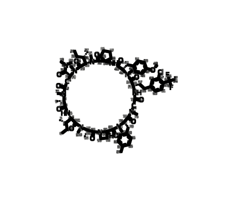 CC[C@H](C)[C@@H]1NC(=O)[C@H](C)N(C)C(=O)C[C@@H](C(=O)N(C)C)N(C)C(=O)[C@H]([C@@H](C)CC)N(C)C(=O)C2(CCCC2)NC(=O)[C@H](Cc2ccc(OC)cc2)N(C)C(=O)[C@H](CCc2ccc(C(F)(F)F)c(Cl)c2)NC(=O)CN(C)C(=O)[C@H](Cc2ccc(C)cc2)N(C)C(=O)[C@@H]2CCN2C(=O)[C@H](C)N(C)C1=O